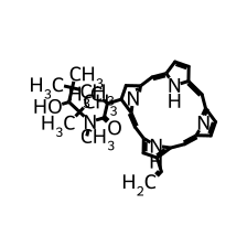 C=Cc1cc2cc3nc(cc4ccc(cc5nc(cc1[nH]2)C=C5)[nH]4)CC3C(C)C(=O)N(C)C(C)(C)C(O)C(C)(C)C